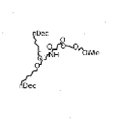 CCCCCCCCCCCCCCCCOCC(CCNC(=O)CCC(=O)OCCOCCOC)OCCCCCCCCCCCCCCCC